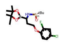 CC(C)(C)[S@+]([O-])NC(CCOc1ccc(Cl)cc1F)B1OC(C)(C)C(C)(C)O1